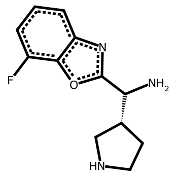 NC(c1nc2cccc(F)c2o1)[C@@H]1CCNC1